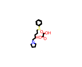 O=C(O)C(=O)O.c1ccc(SCCCCCN2CCCC2)cc1